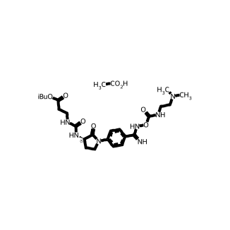 CC(=O)O.CC(C)COC(=O)CCNC(=O)N[C@H]1CCN(c2ccc(C(=N)NOC(=O)NCCN(C)C)cc2)C1=O